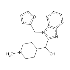 CN1CCC(C(O)c2nc3cccnc3n2Cc2ccco2)CC1